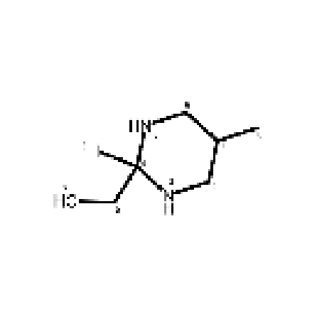 CC1CNC(I)(CO)NC1